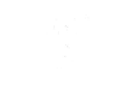 C=CC(=O)NOC(CC)[N+](C)(C)C.CCl